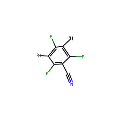 [2H]c1c(F)c([2H])c(F)c(C#N)c1F